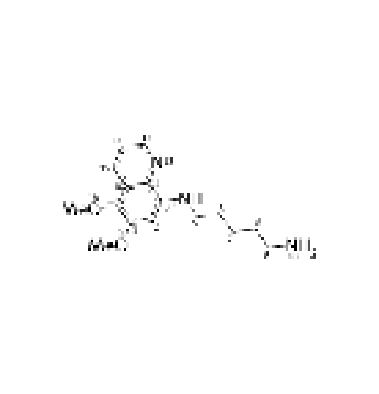 COc1cc(NCCCCCN)c2ncccc2c1OC